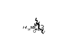 CCCCCCCCC.NC(=O)N(N)N